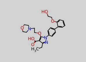 CCc1nn(-c2ccc(-c3ccccc3OCCO)cc2)c(OCCN2CCOCC2)c1C(=O)O